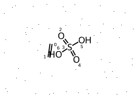 C=C.O=S(=O)(O)O